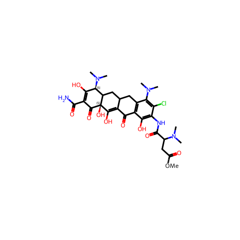 COC(=O)CC(C(=O)Nc1c(O)c2c(c(N(C)C)c1Cl)CC1CC3[C@H](N(C)C)C(O)=C(C(N)=O)C(=O)[C@@]3(O)C(O)=C1C2=O)N(C)C